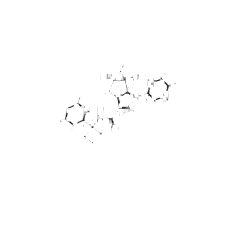 O=C(NC1(c2ccccn2)CCC1)c1nn(-c2cnccn2)c2c1C[C@@H]1C[C@H]21